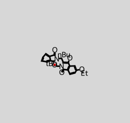 CCCCOc1c(CN2C(=O)c3ccccc3C2=O)n(CC(C)(C)C)c(=O)c2ccc(OCC)cc12